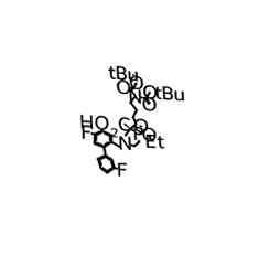 CCOP1(=O)CCN(Cc2ccc(F)cc2-c2cccc(F)c2)C[C@@]1(CCCCN(C(=O)OC(C)(C)C)C(=O)OC(C)(C)C)C(=O)O